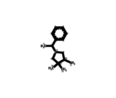 CC(c1ccccc1)N1CC(N)C(C)(C)C1